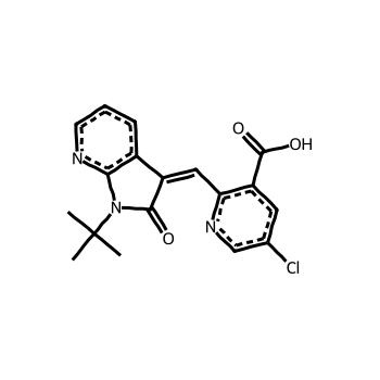 CC(C)(C)N1C(=O)C(=Cc2ncc(Cl)cc2C(=O)O)c2cccnc21